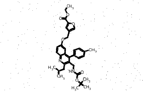 CCOC(=O)c1cc(COc2ccc3nc(CC(C)C)c(CNC(=O)OC(C)(C)C)c(-c4ccc(C)cc4)c3c2)co1